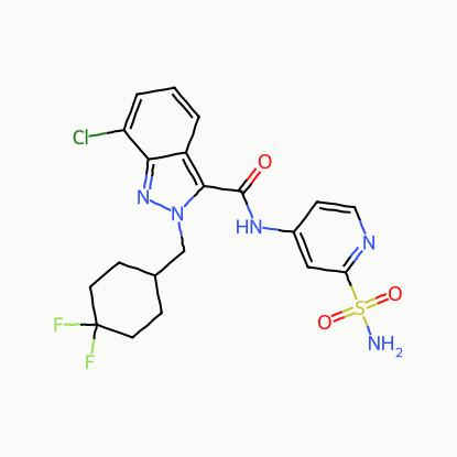 NS(=O)(=O)c1cc(NC(=O)c2c3cccc(Cl)c3nn2CC2CCC(F)(F)CC2)ccn1